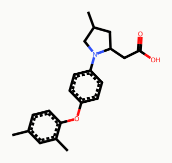 Cc1ccc(Oc2ccc(N3CC(C)CC3CC(=O)O)cc2)c(C)c1